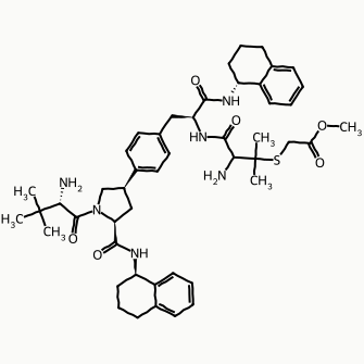 COC(=O)CSC(C)(C)C(N)C(=O)N[C@@H](Cc1ccc([C@H]2C[C@@H](C(=O)N[C@@H]3CCCc4ccccc43)N(C(=O)[C@@H](N)C(C)(C)C)C2)cc1)C(=O)N[C@@H]1CCCc2ccccc21